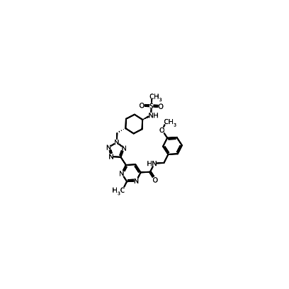 COc1cccc(CNC(=O)c2cc(-c3nnn(C[C@H]4CC[C@H](NS(C)(=O)=O)CC4)n3)nc(C)n2)c1